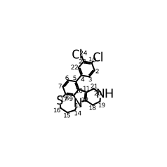 Clc1ccc(-c2ccc3c4c2c2c(n4CCCS3)CCNC2)cc1Cl